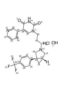 Cl.Cl.O=c1[nH]c(=O)n(CCCN2C[C@@H]3C[C@]3(c3ccc(C(F)(F)F)cc3)C2)cc1-c1cnccn1